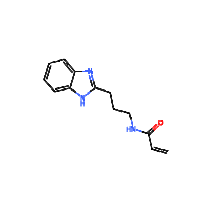 C=CC(=O)NCCCc1nc2ccccc2[nH]1